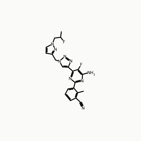 Cc1c(C#N)cccc1-c1nc(N)c(F)c(-c2cn(Cc3ccn(CC(C)F)n3)nn2)n1